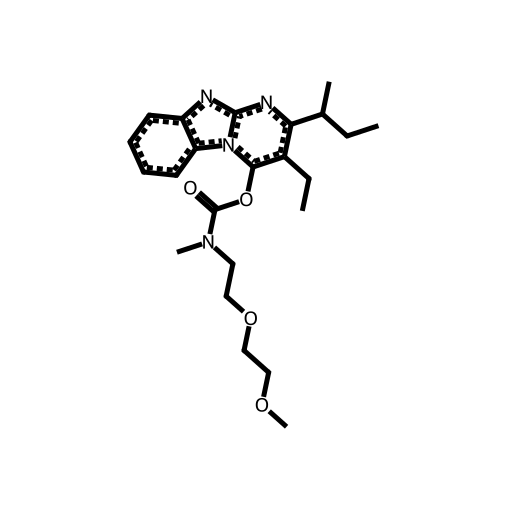 CCc1c(C(C)CC)nc2nc3ccccc3n2c1OC(=O)N(C)CCOCCOC